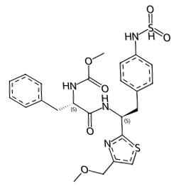 COCc1csc([C@H](Cc2ccc(N[SH](=O)=O)cc2)NC(=O)[C@H](Cc2ccccc2)NC(=O)OC)n1